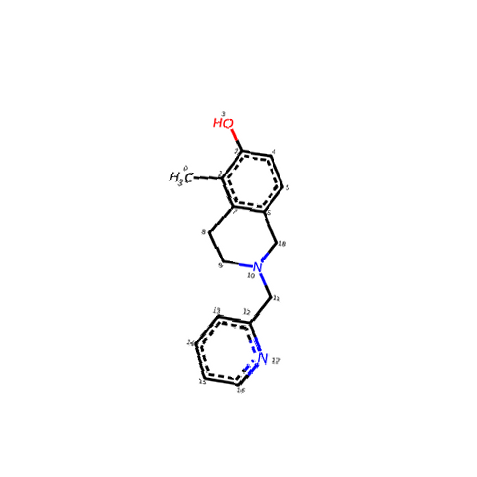 Cc1c(O)ccc2c1CCN(Cc1ccccn1)C2